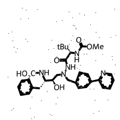 COC(=O)N[C@H](C(=O)NN(Cc1ccc(-c2ccccn2)cc1)C[C@@H](O)[C@H](Cc1ccccc1)NC(=O)O)C(C)(C)C